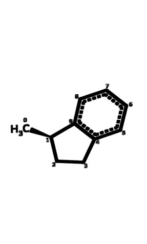 C[C@@H]1CCc2ccccc21